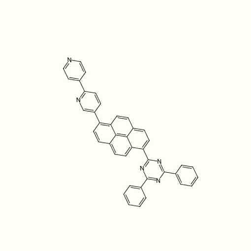 c1ccc(-c2nc(-c3ccccc3)nc(-c3ccc4ccc5c(-c6ccc(-c7ccncc7)nc6)ccc6ccc3c4c65)n2)cc1